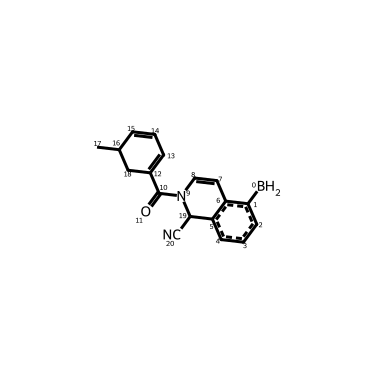 Bc1cccc2c1C=CN(C(=O)C1=CC=CC(C)C1)C2C#N